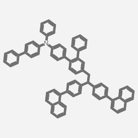 c1ccc(-c2ccc(N(c3ccccc3)c3ccc(-c4ccc(CC(c5ccc(-c6cccc7ccccc67)cc5)c5ccc(-c6cccc7ccccc67)cc5)cc4-c4ccccc4)cc3)cc2)cc1